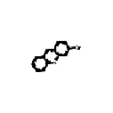 Brc1ccc2cc3ccccc3nc2c1